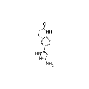 Nc1cc(-c2ccc3c(c2)CCC(=O)N3)[nH]n1